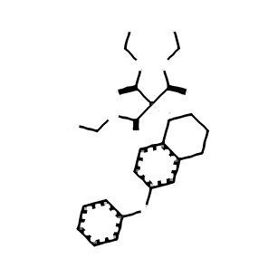 CCOC(=O)C(C(=O)OCC)(C(=O)OCC)[C@@H]1CCCc2cc(Sc3ccccc3)ccc21